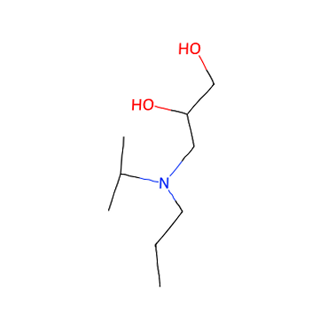 CCCN(CC(O)CO)C(C)C